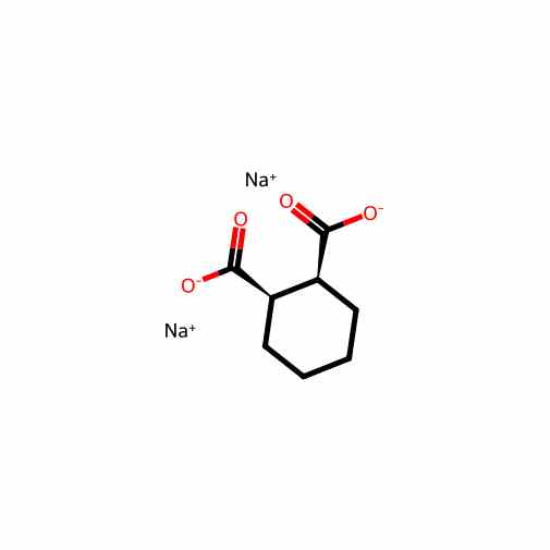 O=C([O-])[C@H]1CCCC[C@H]1C(=O)[O-].[Na+].[Na+]